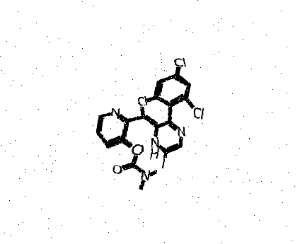 CC(=C1NC(I)=CN=C1c1c(Cl)cc(Cl)cc1Cl)c1ncccc1OC(=O)N(C)C